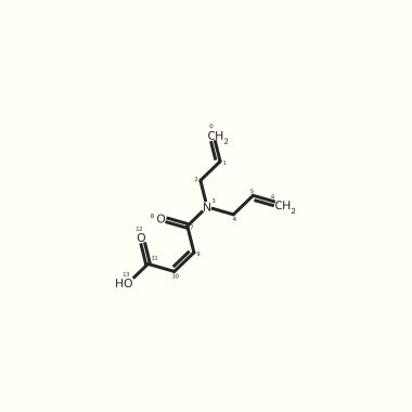 C=CCN(CC=C)C(=O)/C=C\C(=O)O